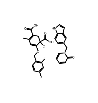 CC1=C(C(=O)O)CC(Cl)(C(=O)O)C(OCc2ccc(F)cc2F)=C1.O=c1ccccn1Cc1ccc2[nH]ccc2c1